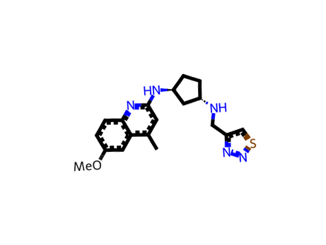 COc1ccc2nc(N[C@H]3CC[C@H](NCc4csnn4)C3)cc(C)c2c1